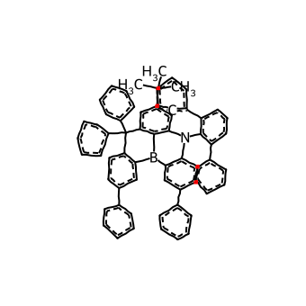 CC(C)(C)c1cc2c3c(c1)C(c1ccccc1)(c1ccccc1)c1ccc(-c4ccccc4)cc1B3c1cc(-c3ccccc3)ccc1N2c1c(-c2ccccc2)cccc1-c1ccccc1